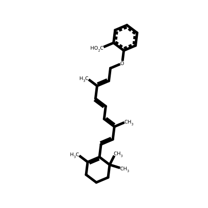 CC(C=CC1=C(C)CCCC1(C)C)=CC=CC(C)=CCOc1ccccc1C(=O)O